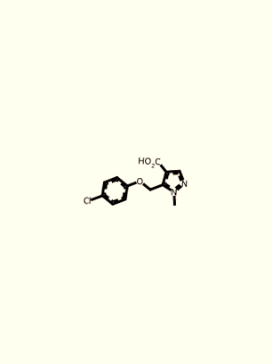 Cn1ncc(C(=O)O)c1COc1ccc(Cl)cc1